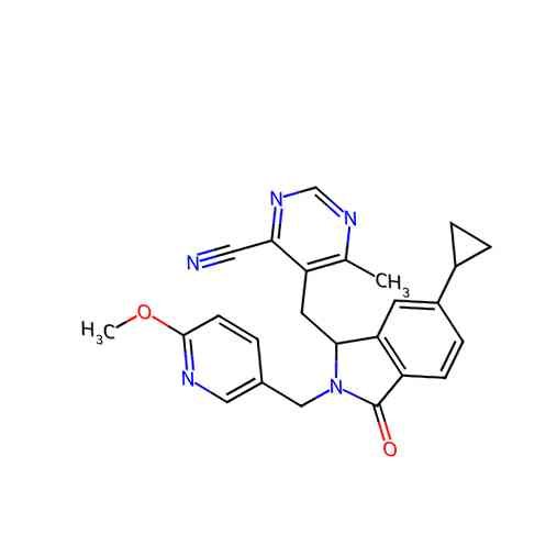 COc1ccc(CN2C(=O)c3ccc(C4CC4)cc3C2Cc2c(C)ncnc2C#N)cn1